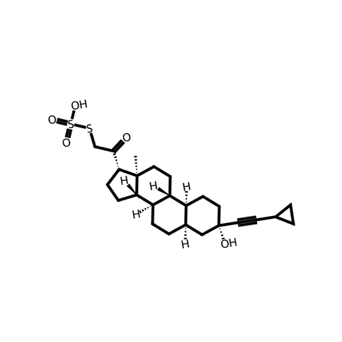 C[C@]12CC[C@H]3[C@@H](CC[C@@H]4C[C@](O)(C#CC5CC5)CC[C@@H]43)[C@@H]1CC[C@@H]2C(=O)CSS(=O)(=O)O